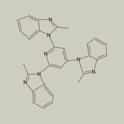 Cc1nc2ccccc2n1-c1cc(-n2c(C)nc3ccccc32)nc(-n2c(C)nc3ccccc32)c1